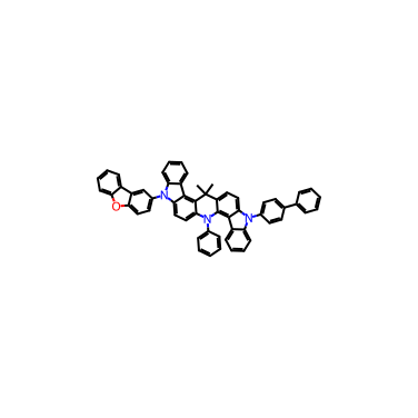 CC1(C)c2ccc3c(c2N(c2ccccc2)c2ccc4c(c21)c1ccccc1n4-c1ccc2oc4ccccc4c2c1)c1ccccc1n3-c1ccc(-c2ccccc2)cc1